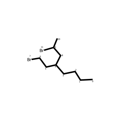 CCCCC(CCBr)CC(C)Br